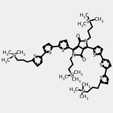 C[Si](C)(C)CCCc1ccc(-c2ccc(-c3ccc(C4=C5C(=O)N(CCC[Si](C)(C)C)C(c6ccc(-c7ccc(-c8ccc(CCC[Si](C)(C)C)s8)s7)s6)=C5C(=O)N4CCC[Si](C)(C)C)s3)s2)s1